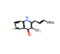 CCCCCCC=CCc1[nH]c2ccc(F)cc2c(=O)c1C